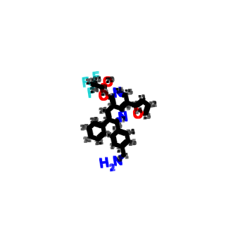 NCc1ccc(-c2nc3c(-c4ccco4)cnc(OC(=O)C(F)(F)F)c3cc2-c2ccccc2)cc1